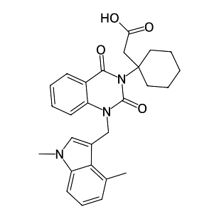 Cc1cccc2c1c(Cn1c(=O)n(C3(CC(=O)O)CCCCC3)c(=O)c3ccccc31)cn2C